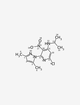 Cc1cc(C)n(-c2nc(Cl)cc(NC(C)C)c2[N+](=O)[O-])n1